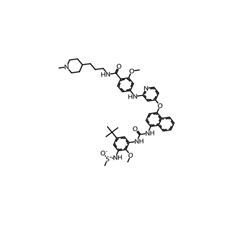 COc1cc(Nc2cc(Oc3ccc(NC(=O)Nc4cc(C(C)(C)C)cc(N[S+](C)[O-])c4OC)c4ccccc34)ccn2)ccc1C(=O)NCCCC1CCN(C)CC1